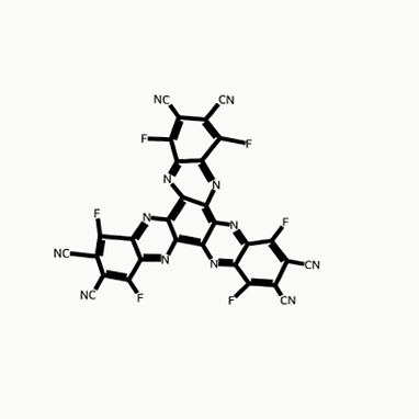 N#Cc1c(C#N)c(F)c2nc3c(nc2c1F)c1nc2c(F)c(C#N)c(C#N)c(F)c2nc1c1nc2c(F)c(C#N)c(C#N)c(F)c2nc31